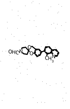 Cc1c(-c2ccc3c(c2)COC2(CCN(C=O)CC2)O3)ccc2cccnc12